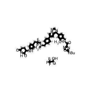 CCCCc1nc(C(=O)NCc2ccc(-c3ncnn4cc(-c5ccc(CN(C)CC(F)(F)Cc6ccc(NC7CCC(=O)NC7=O)cc6)cc5)cc34)cc2C)no1.O=C(O)C(F)(F)F